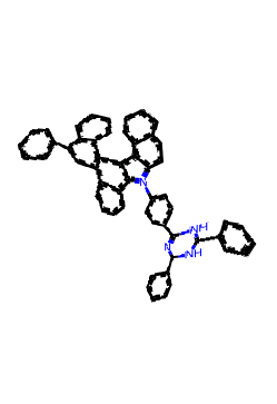 c1ccc(-c2cc3c4ccccc4c4c(c3c3ccccc23)c2c3ccccc3ccc2n4-c2ccc(C3=NC(c4ccccc4)NC(c4ccccc4)N3)cc2)cc1